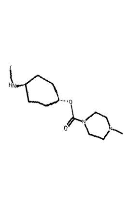 CN1CCN(C(=O)O[C@H]2CC[C@H](NI)CC2)CC1